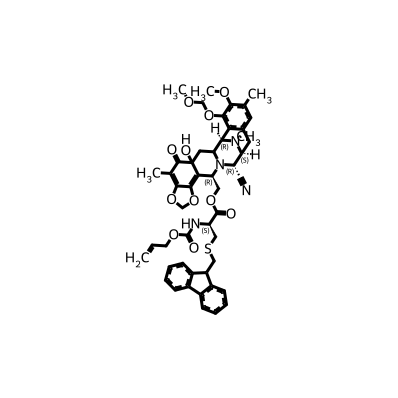 C=CCOC(=O)N[C@H](CSCC1c2ccccc2-c2ccccc21)C(=O)OC[C@H]1C2=C3OCOC3=C(C)C(=O)C2(O)CC2[C@H]3c4c(cc(C)c(OC)c4OCOC)C[C@@H]([C@H](C#N)N21)N3C